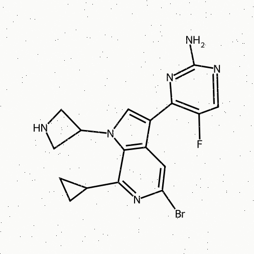 Nc1ncc(F)c(-c2cn(C3CNC3)c3c(C4CC4)nc(Br)cc23)n1